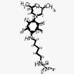 CC1CN(c2c(F)c(F)c(NCCCCCNS(=O)(=O)C(C)C)c(F)c2F)CC(C)O1